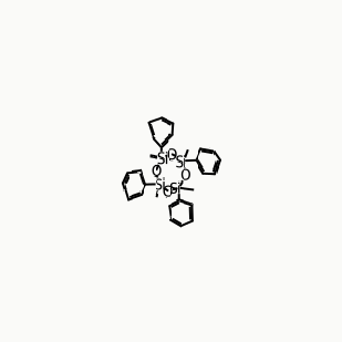 C[Si]1(c2ccccc2)O[Si](C)(c2ccccc2)O[Si](C)(c2ccccc2)O[Si](C)(c2ccccc2)O1